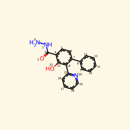 NNC(=O)c1ccc(-c2ccccc2)c(-c2ccccn2)c1O